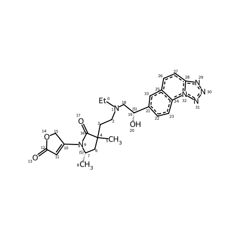 CCN(CCC1(C)C[C@H](C)N(C2=CC(=O)OC2)C1=O)C[C@@H](O)c1ccc2c(ccc3nnnn32)c1